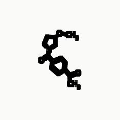 CO[C@@H]1CCN(C(=O)c2ccc(C(C)=O)cc2)C1